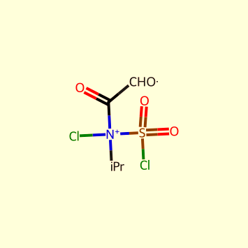 CC(C)[N+](Cl)(C(=O)[C]=O)S(=O)(=O)Cl